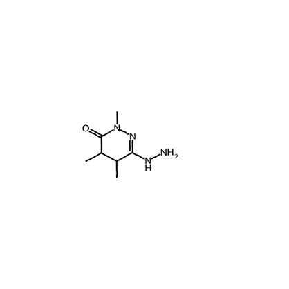 CC1C(=O)N(C)N=C(NN)C1C